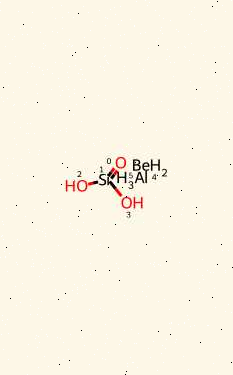 O=[Si](O)O.[AlH3].[BeH2]